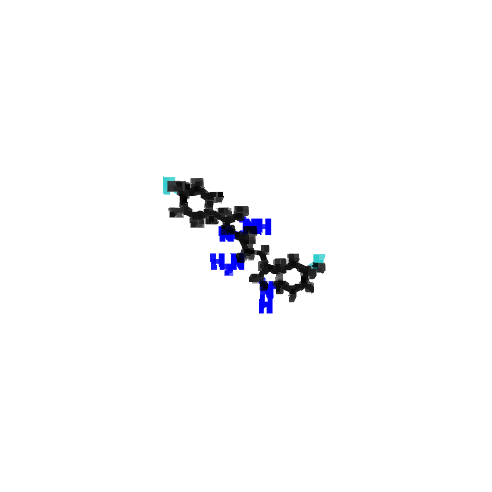 N[C@@H](Cc1c[nH]c2ccc(F)cc12)c1nc(-c2ccc(F)cc2)c[nH]1